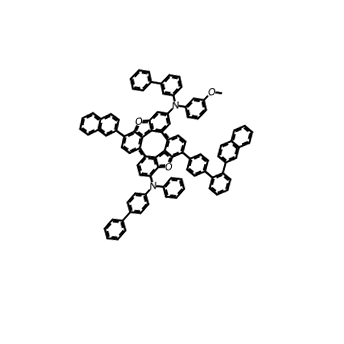 COc1cccc(N(c2cccc(-c3ccccc3)c2)c2cc3oc4c(-c5ccc6ccccc6c5)ccc5c6ccc(N(c7ccccc7)c7ccc(-c8ccccc8)cc7)c7oc8c(-c9ccc(-c%10ccccc%10-c%10ccc%11ccccc%11c%10)cc9)ccc(c(c2)c3c45)c8c76)c1